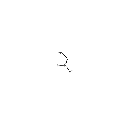 CCCCN(F)CCC